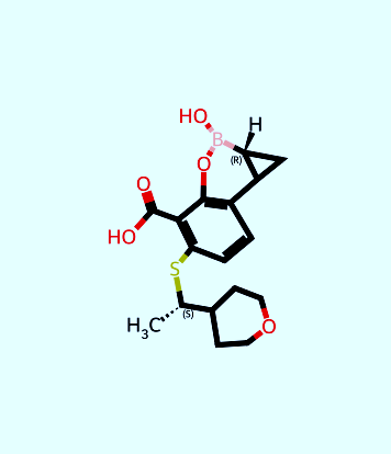 C[C@H](Sc1ccc2c(c1C(=O)O)OB(O)[C@@H]1CC21)C1CCOCC1